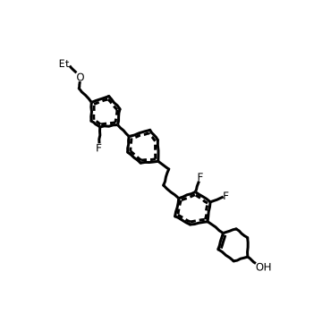 CCOCc1ccc(-c2ccc(CCc3ccc(C4=CCC(O)CC4)c(F)c3F)cc2)c(F)c1